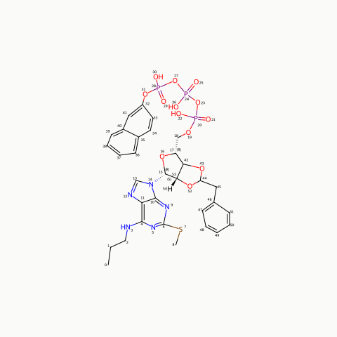 CCCNc1nc(SC)nc2c1ncn2[C@@H]1O[C@H](COP(=O)(O)OP(=O)(O)OP(=O)(O)Oc2ccc3ccccc3c2)C2OC(Cc3ccccc3)O[C@@H]21